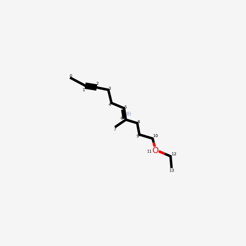 CC#CCC/C=C(\C)CCCOCC